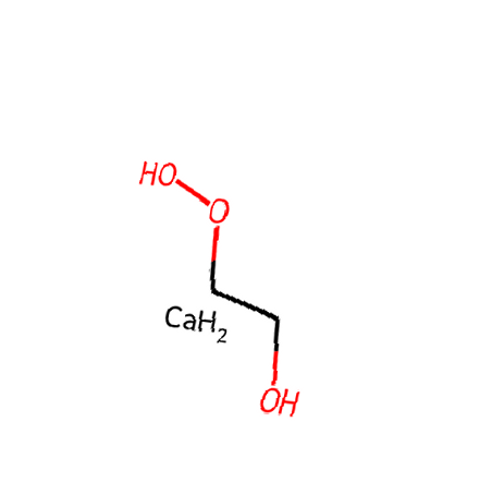 OCCOO.[CaH2]